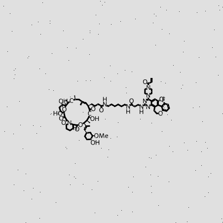 C=CC(=O)N1CCN(c2nc(NCCC(=O)NCCCCCCNC(=O)CCC[C@@H]3/C=C(\C)C[C@H](C)C[C@H](C)[C@H]4O[C@@](O)(C(=O)C(=O)N5CCCC[C@H]5C(=O)O[C@H](/C(C)=C/[C@@H]5CC[C@@H](O)[C@H](OC)C5)[C@H](C)[C@@H](O)CC3=O)[C@H](C)C[C@@H]4O)nc3c4c(c(Cl)cc23)-c2c(F)cccc2OCC4)CC1